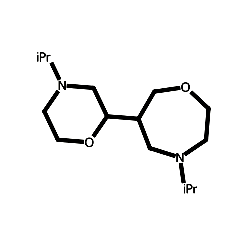 CC(C)N1CCOCC(C2CN(C(C)C)CCO2)C1